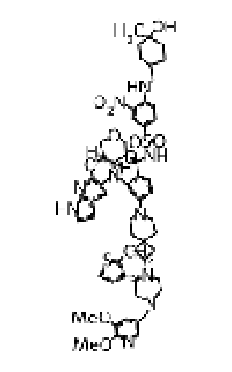 COc1cc(CN2CCN(C3CC4(CCN(c5ccc(C(=O)NS(=O)(=O)c6ccc(NCC7CCC(C)(O)CC7)c([N+](=O)[O-])c6)c(N6c7cc8cc[nH]c8nc7O[C@H]7COCC[C@@H]76)c5)CC4)C3)[C@@H](c3ccsc3C)C2)cnc1OC